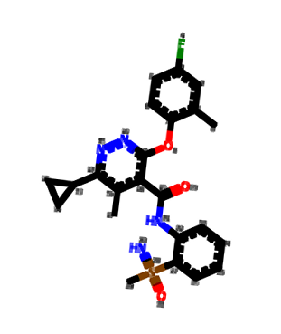 Cc1cc(F)ccc1Oc1nnc(C2CC2)c(C)c1C(=O)Nc1ccccc1S(C)(=N)=O